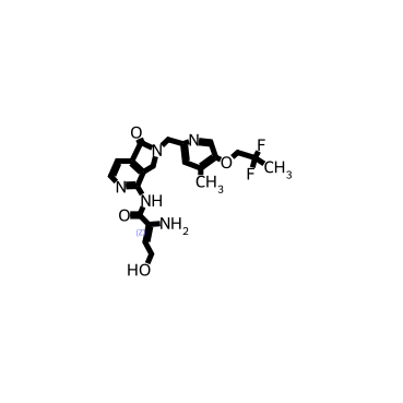 Cc1cc(CN2Cc3c(ccnc3NC(=O)/C(N)=C/CO)C2=O)ncc1OCC(C)(F)F